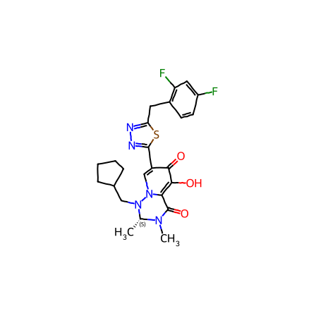 C[C@H]1N(C)C(=O)c2c(O)c(=O)c(-c3nnc(Cc4ccc(F)cc4F)s3)cn2N1CC1CCCC1